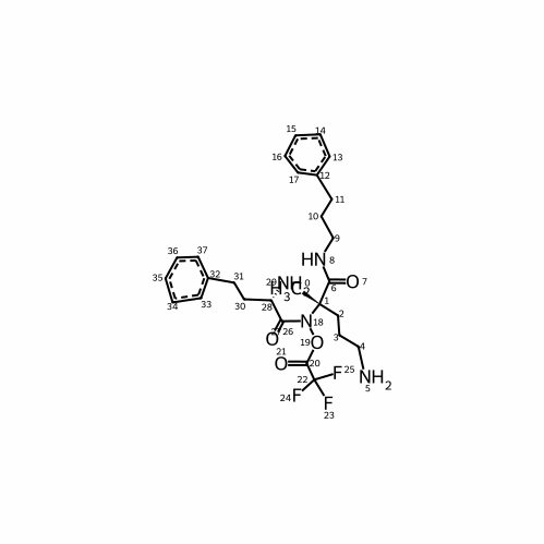 C[C@](CCCN)(C(=O)NCCCc1ccccc1)N(OC(=O)C(F)(F)F)C(=O)[C@@H](N)CCc1ccccc1